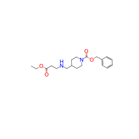 CCOC(=O)CCNCC1CCN(C(=O)OCc2ccccc2)CC1